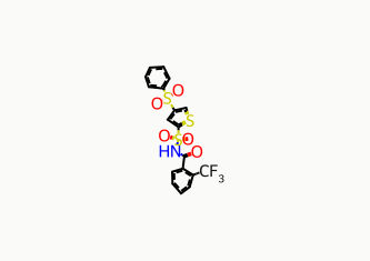 O=C(NS(=O)(=O)c1cc(S(=O)(=O)c2ccccc2)cs1)c1ccccc1C(F)(F)F